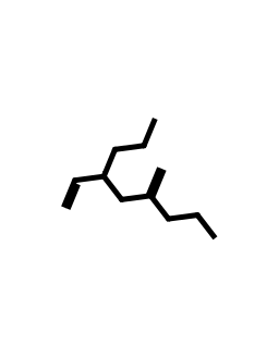 C=C[C](CCC)CC(=C)CCC